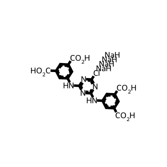 O=C(O)c1cc(Nc2nc(Cl)nc(Nc3cc(C(=O)O)cc(C(=O)O)c3)n2)cc(C(=O)O)c1.[NaH].[NaH].[NaH].[NaH]